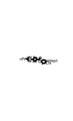 CCCCCCCC1(C#N)CCC(OC(=O)c2ccc(-c3ncc(CCC)cn3)cc2)CC1